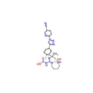 C[C@@]1(c2cc(-c3cn(-c4ccc(C#N)cn4)nn3)ccc2F)CS2(O)NCCCCN2C(NC(=O)O)=N1